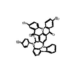 CC(C)C(C)N(c1ccc(C(C)(C)C)cc1)c1cccc2c3ccccc3n(-c3cc4c(=O)c5cc(C(C)(C)C)ccc5n5c6ccc(C(C)(C)C)cc6c(=O)c(c3)c45)c12